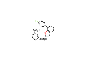 CNC1Cc2cccc(-c3ccc(F)cc3)c2O1.O=C(O)c1cccc(C(=O)O)c1